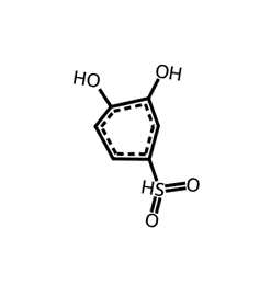 O=[SH](=O)c1ccc(O)c(O)c1